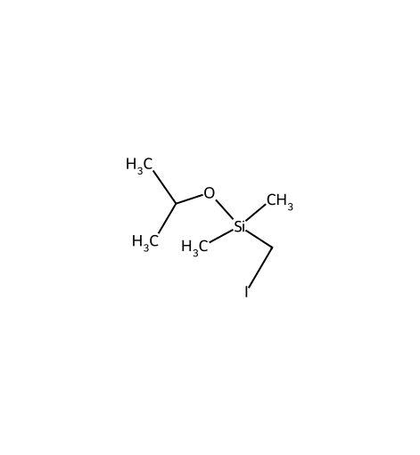 CC(C)O[Si](C)(C)CI